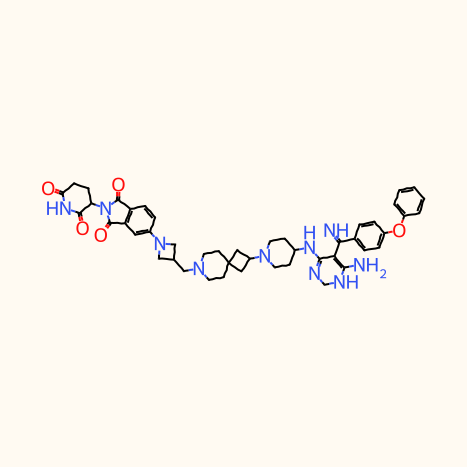 N=C(C1=C(N)NCN=C1NC1CCN(C2CC3(CCN(CC4CN(c5ccc6c(c5)C(=O)N(C5CCC(=O)NC5=O)C6=O)C4)CC3)C2)CC1)c1ccc(Oc2ccccc2)cc1